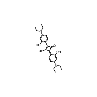 CCN(CC)c1ccc(C2=C(O)C(=C3C=CC(N(CC)CC)C=C3O)C2=O)c(O)c1